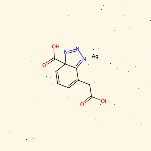 O=C(O)CC1=CC=CC2(C(=O)O)N=NN=C12.[Ag]